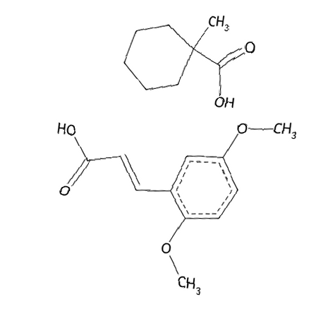 CC1(C(=O)O)CCCCC1.COc1ccc(OC)c(C=CC(=O)O)c1